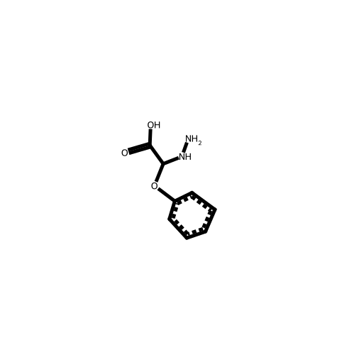 NNC(Oc1ccccc1)C(=O)O